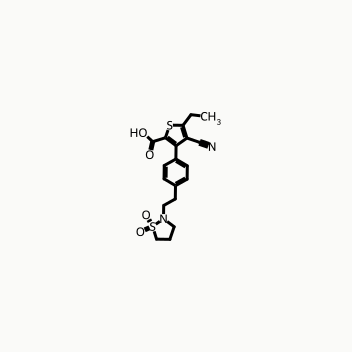 CCc1sc(C(=O)O)c(-c2ccc(CCN3CCCS3(=O)=O)cc2)c1C#N